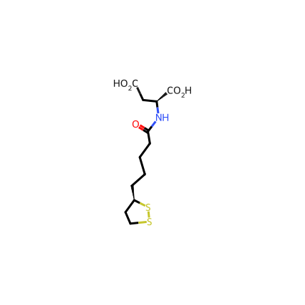 O=C(O)C[C@H](NC(=O)CCCC[C@@H]1CCSS1)C(=O)O